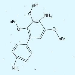 CCCOc1cc(-c2ccc(N)cc2)c(OCCC)c(OCCC)c1N